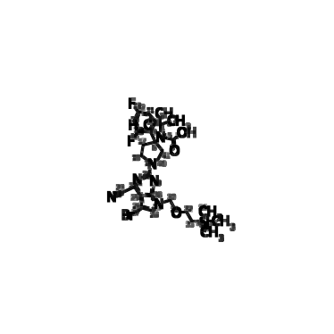 CC(C)(C)N(C(=O)O)C1(c2ccc(F)cc2F)CCN(c2nc(C#N)c3c(Br)cn(COCC[Si](C)(C)C)c3n2)CC1